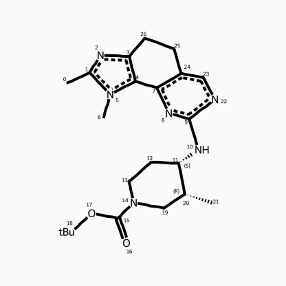 Cc1nc2c(n1C)-c1nc(N[C@H]3CCN(C(=O)OC(C)(C)C)C[C@H]3C)ncc1CC2